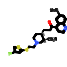 COc1ccc2nccc(C(=O)CC[C@H]3CCN(CCSc4cc(F)cs4)C[C@H]3C(=O)O)c2c1